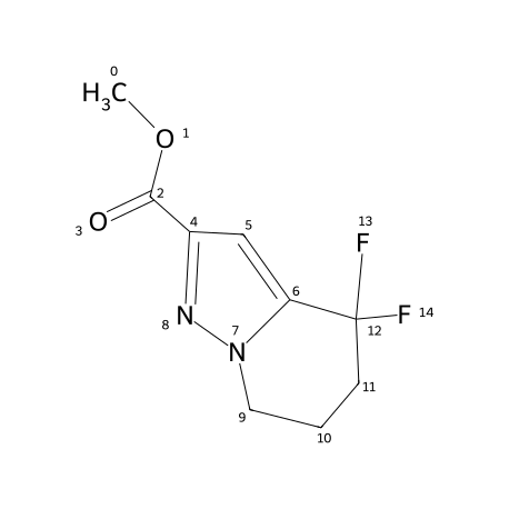 COC(=O)c1cc2n(n1)CCCC2(F)F